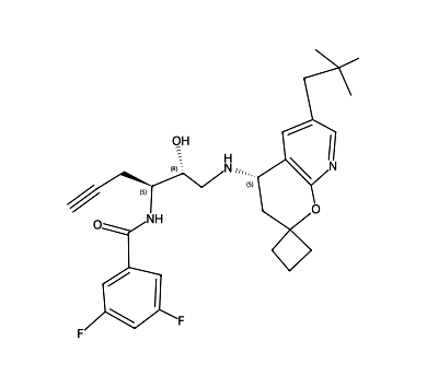 C#CC[C@H](NC(=O)c1cc(F)cc(F)c1)[C@H](O)CN[C@H]1CC2(CCC2)Oc2ncc(CC(C)(C)C)cc21